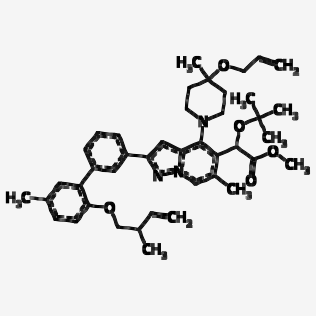 C=CCOC1(C)CCN(c2c(C(OC(C)(C)C)C(=O)OC)c(C)cn3nc(-c4cccc(-c5cc(C)ccc5OCC(C)C=C)c4)cc23)CC1